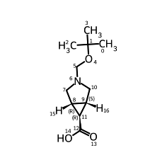 CC(C)(C)OCN1C[C@@H]2[C@H](C1)[C@H]2C(=O)O